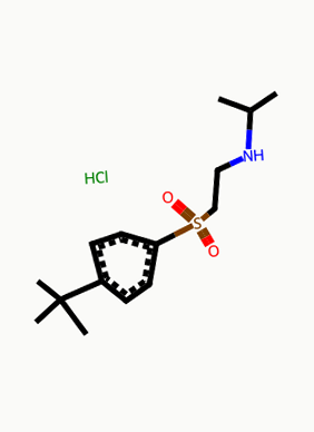 CC(C)NCCS(=O)(=O)c1ccc(C(C)(C)C)cc1.Cl